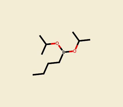 CCCCB(OC(C)C)OC(C)C